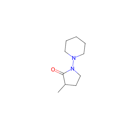 CC1CCN(N2CCCCC2)C1=O